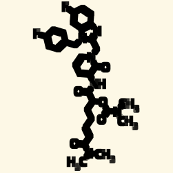 CN(C)C(=O)/C=C/CCC(OC(=O)N(C)C)C(=O)Nc1cccn(Cc2nc3ccc(F)cc3n2Cc2ccc(F)cc2)c1=O